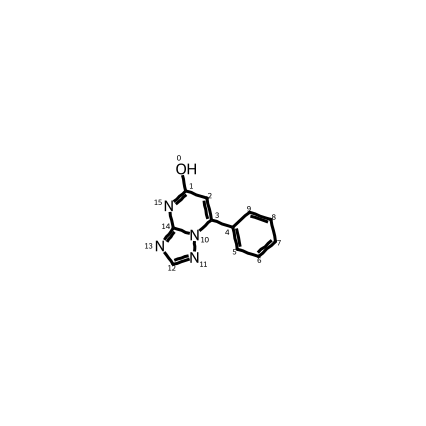 Oc1cc(-c2ccccc2)n2ncnc2n1